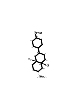 CCCCCCC[C@@H]1CC[C@@H]2CC(C3CCC(CCCCC)CC3)CC[C@]2(C#N)C1